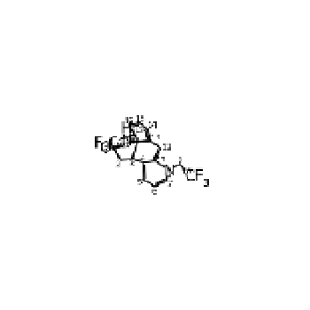 O=C1CC2C3=CC=CN(CC(F)(F)F)C3=CC3=CC=CC(C(F)(F)F)C32N1